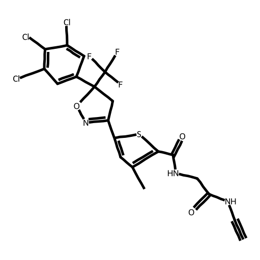 C#CNC(=O)CNC(=O)c1sc(C2=NOC(c3cc(Cl)c(Cl)c(Cl)c3)(C(F)(F)F)C2)cc1C